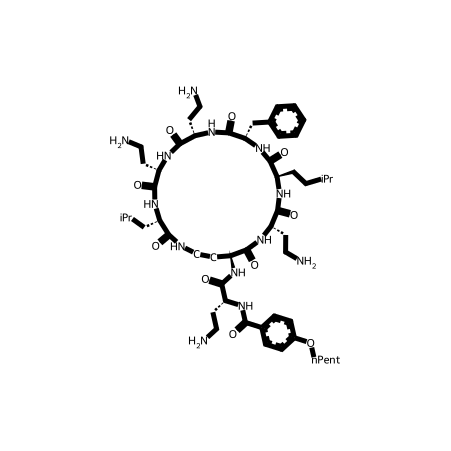 CCCCCOc1ccc(C(=O)N[C@H](CCN)C(=O)N[C@H]2CCNC(=O)[C@H](CC(C)C)NC(=O)[C@H](CCN)NC(=O)[C@H](CCN)NC(=O)[C@H](Cc3ccccc3)NC(=O)[C@@H](CCC(C)C)NC(=O)[C@H](CCN)NC2=O)cc1